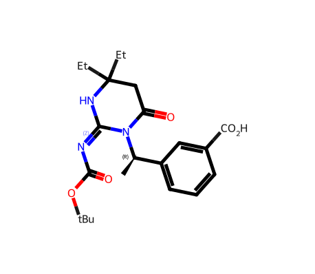 CCC1(CC)CC(=O)N([C@H](C)c2cccc(C(=O)O)c2)/C(=N\C(=O)OC(C)(C)C)N1